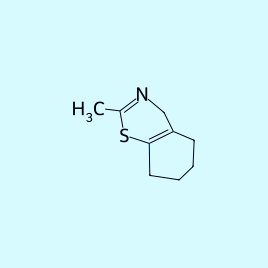 CC1=NCC2=C(CCCC2)S1